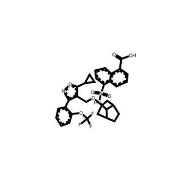 O=C(O)c1cccc2c(S(=O)(=O)NC3C4CCC3CC(OCc3c(-c5ccccc5OC(F)(F)F)noc3C3CC3)C4)cccc12